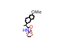 COc1ccc2cc(C(C)C(=O)NP3(=S)SCCS3)ccc2c1